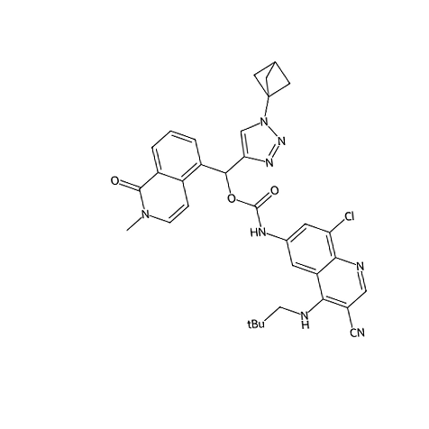 Cn1ccc2c(C(OC(=O)Nc3cc(Cl)c4ncc(C#N)c(NCC(C)(C)C)c4c3)c3cn(C45CC(C4)C5)nn3)cccc2c1=O